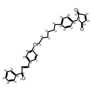 O=C(/C=C/c1ccc(OCCCCCCc2ccc(N3C(=O)C=CC3=O)cc2)cc1)c1ccccc1